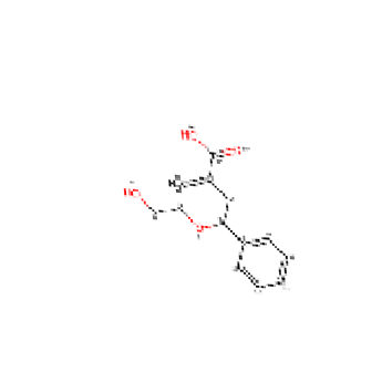 C=C(CC(OCCO)c1ccccc1)C(=O)O